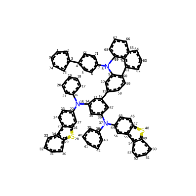 c1ccc(-c2ccc(N3c4cc(-c5cc(N(c6ccccc6)c6ccc7c(c6)sc6ccccc67)cc(N(c6ccccc6)c6ccc7sc8ccccc8c7c6)c5)ccc4-c4cccc5cccc3c45)cc2)cc1